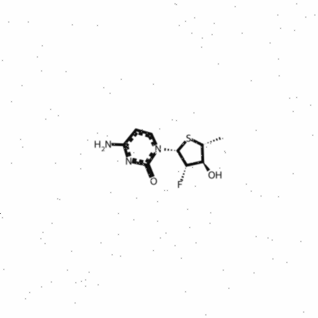 [CH2][C@H]1S[C@@H](n2ccc(N)nc2=O)[C@@H](F)[C@@H]1O